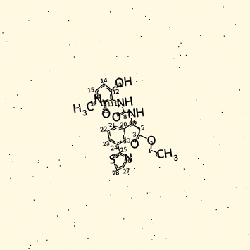 CCOC(=O)C[C@H](NC(=O)Nc1c(O)ccn(C)c1=O)c1cccc(-c2nccs2)c1